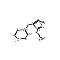 OCc1c[nH]cc1CN1CCOCC1